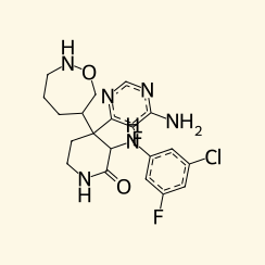 Nc1ncnc(C2(C3CCCNOC3)CCNC(=O)C2Nc2cc(F)cc(Cl)c2)c1F